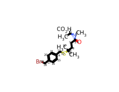 C[C@@H](C(=O)O)N(C)C(=O)CCC(C)(C)SCc1ccc(CBr)cc1